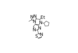 CCC1c2nnc(C)n2-c2cnc(-c3nccs3)nc2N1C1CCCC1